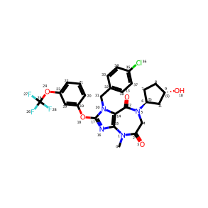 CN1C(=O)CN([C@H]2CC[C@H](O)C2)C(=O)c2c1nc(Oc1cccc(OC(F)(F)F)c1)n2Cc1ccc(Cl)cc1